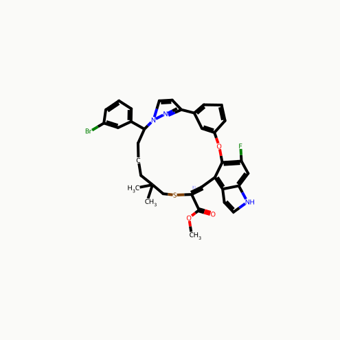 COC(=O)/C1=C\c2c(c(F)cc3[nH]ccc23)Oc2cccc(c2)-c2ccn(n2)C(c2cccc(Br)c2)CCCC(C)(C)CS1